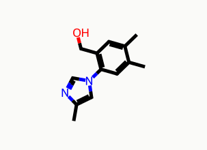 Cc1cn(-c2cc(C)c(C)cc2CO)cn1